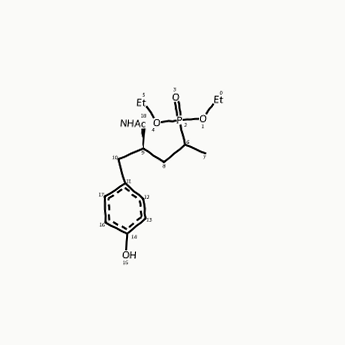 CCOP(=O)(OCC)C(C)C[C@@H](Cc1ccc(O)cc1)NC(C)=O